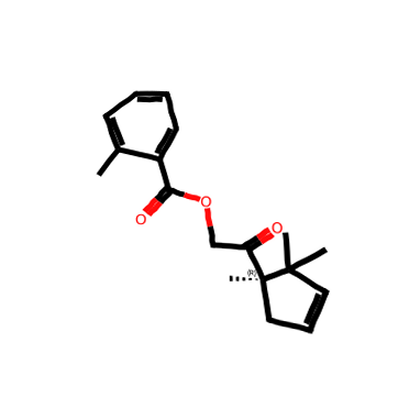 Cc1ccccc1C(=O)OCC(=O)[C@]1(C)CC=CC1(C)C